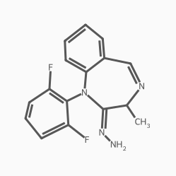 CC1N=Cc2ccccc2N(c2c(F)cccc2F)C1=NN